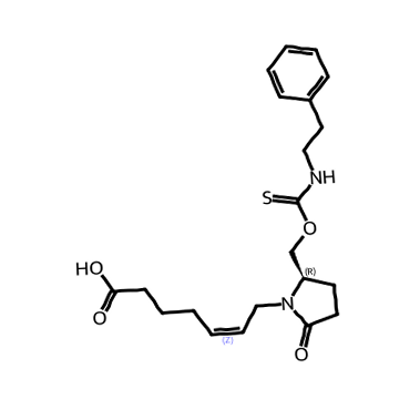 O=C(O)CCC/C=C\CN1C(=O)CC[C@@H]1COC(=S)NCCc1ccccc1